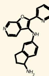 NC1CCc2cc(Nc3c(-c4ccccn4)oc4cnccc34)ccc21